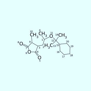 CC(CC1C(=O)OC(=O)C1C)OC(C)(C)C1CCCCC1